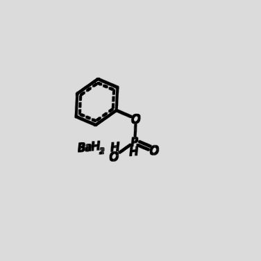 O=[PH](O)Oc1ccccc1.[BaH2]